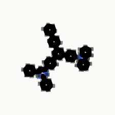 c1ccc(-c2ccc(-c3cc(-c4ccc(-c5cc(-c6ccccc6)nc(-c6ccccc6)n5)cc4)cc(-c4ccc(-n5c6ccccc6c6ccccc65)cc4)c3)cc2)cc1